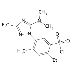 CCc1cc(C)c(-n2nc(C(F)(F)F)nc2N(C)C)cc1S(=O)(=O)Cl